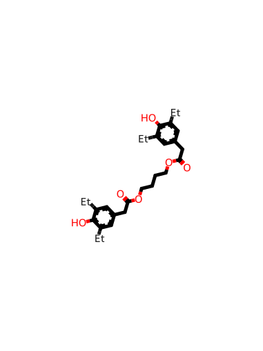 CCc1cc(CC(=O)OCCCCOC(=O)Cc2cc(CC)c(O)c(CC)c2)cc(CC)c1O